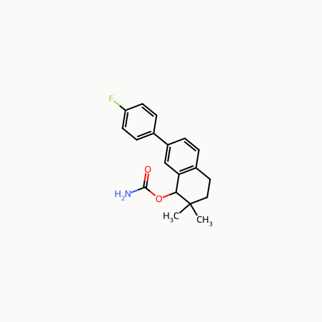 CC1(C)CCc2ccc(-c3ccc(F)cc3)cc2C1OC(N)=O